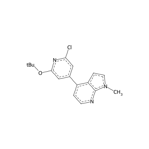 Cn1ccc2c(-c3cc(Cl)nc(OC(C)(C)C)c3)ccnc21